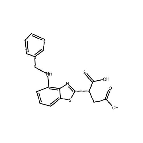 O=C(O)CC(C(O)=S)c1nc2c(NCc3ccccc3)cccc2s1